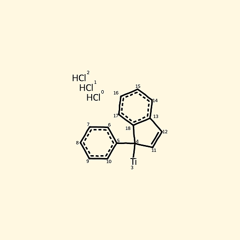 Cl.Cl.Cl.[Ti][C]1(c2ccccc2)C=Cc2ccccc21